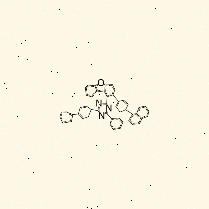 C1=CC(c2nc(-c3ccccc3)nc(-c3c(C4=CCC(c5cccc6ccccc56)C=C4)ccc4oc5ccccc5c34)n2)CC=C1c1ccccc1